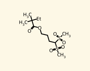 CCC(C)(C)C(=O)OCCCC(S(C)(=O)=O)S(C)(=O)=O